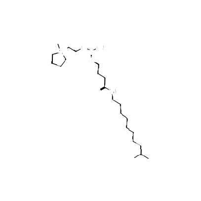 CC(C)CCCCCCCCNC(=O)CCCOP(O)OCC[N+]1(C)CCCC1